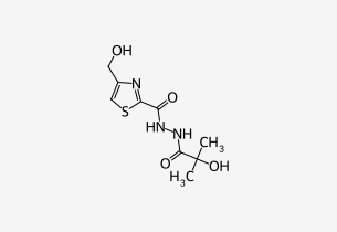 CC(C)(O)C(=O)NNC(=O)c1nc(CO)cs1